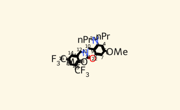 CCCN(CCC)c1cc(OC)ccc1CN(Cc1cc(C(F)(F)F)cc(C(F)(F)F)c1)C(=O)OC